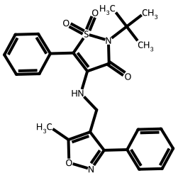 Cc1onc(-c2ccccc2)c1CNC1=C(c2ccccc2)S(=O)(=O)N(C(C)(C)C)C1=O